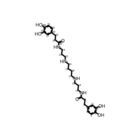 O=C(CCc1ccc(O)c(O)c1)NCCCNCCCCNCCCNC(=O)CCc1ccc(O)c(O)c1